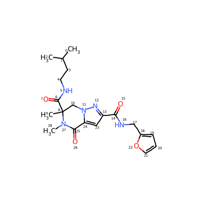 CC(C)CCNC(=O)C1(C)Cn2nc(C(=O)NCc3ccco3)cc2C(=O)N1C